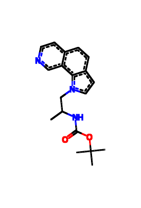 CC(Cn1ccc2ccc3ccncc3c21)NC(=O)OC(C)(C)C